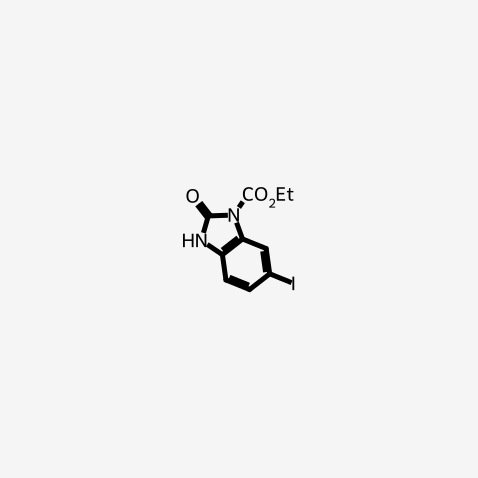 CCOC(=O)n1c(=O)[nH]c2ccc(I)cc21